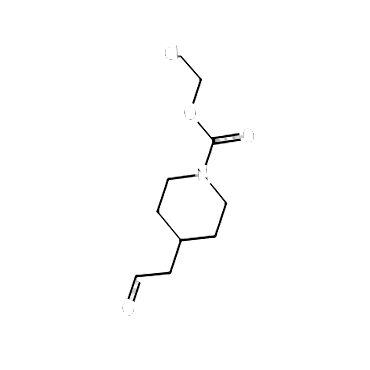 O=CCC1CCN(C(=O)OCCl)CC1